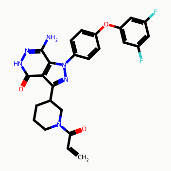 C=CC(=O)N1CCCC(c2nn(-c3ccc(Oc4cc(F)cc(F)c4)cc3)c3c(N)n[nH]c(=O)c23)C1